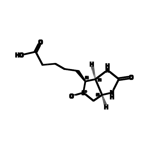 O=C(O)CCCC[C@H]1[C@H]2NC(=O)N[C@H]2C[S+]1[O-]